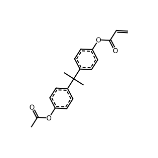 C=CC(=O)Oc1ccc(C(C)(C)c2ccc(OC(C)=O)cc2)cc1